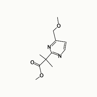 COCc1ccnc(C(C)(C)C(=O)OC)n1